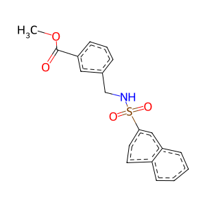 COC(=O)c1cccc(CNS(=O)(=O)c2ccc3ccccc3c2)c1